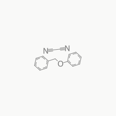 N#CC#N.c1ccc(COc2ccccc2)cc1